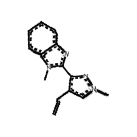 C=Cc1cn(C)nc1-c1nc2ccccc2n1C